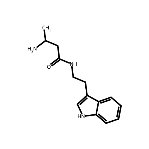 CC(N)CC(=O)NCCc1c[nH]c2ccccc12